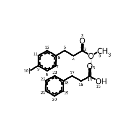 COC(=O)CCc1ccc(I)cc1.O=C(O)CCc1ccccc1